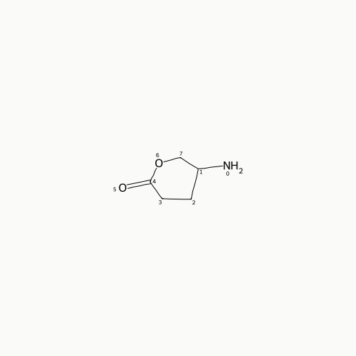 NC1CCC(=O)OC1